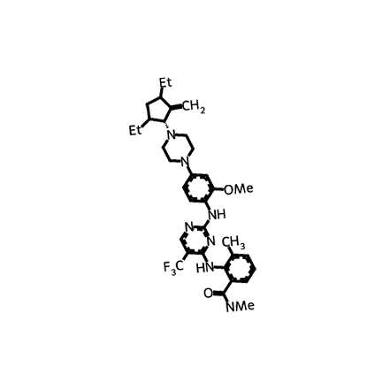 C=C1C(CC)CC(CC)[C@H]1N1CCN(c2ccc(Nc3ncc(C(F)(F)F)c(Nc4c(C)cccc4C(=O)NC)n3)c(OC)c2)CC1